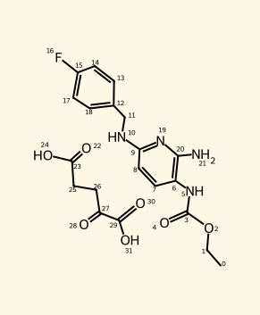 CCOC(=O)Nc1ccc(NCc2ccc(F)cc2)nc1N.O=C(O)CCC(=O)C(=O)O